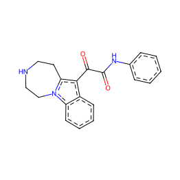 O=C(Nc1ccccc1)C(=O)c1c2n(c3ccccc13)CCNCC2